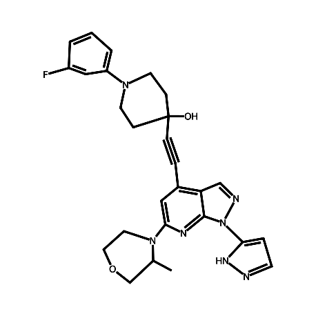 CC1COCCN1c1cc(C#CC2(O)CCN(c3cccc(F)c3)CC2)c2cnn(-c3ccn[nH]3)c2n1